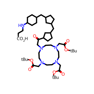 CC(C)(C)OC(=O)CN1CCN(CC(=O)OC(C)(C)C)CCN(CC(=O)C2CCC(CC3CCC(CC4CCC(NCCC(=O)O)CC4)C3)C2)CCN(CC(=O)OC(C)(C)C)CC1